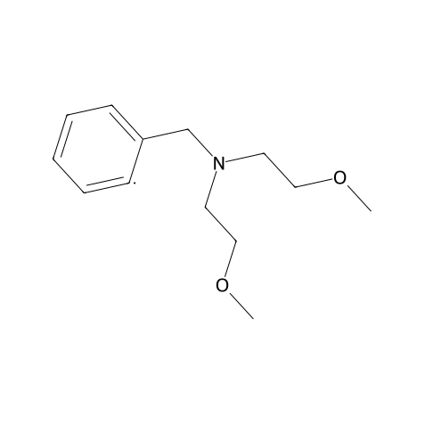 COCCN(CCOC)Cc1[c]cccc1